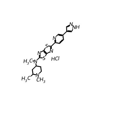 CC1CC(N(C)c2nc3sc(-c4ccc(-c5cn[nH]c5)cn4)nc3s2)CCN1C.Cl